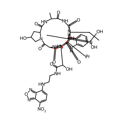 CC1NC(=O)C2CC(O)CN2C(=O)C2CSc3[nH]c4ccccc4c3CC(NC1=O)C(=O)NC(CC(C)(O)CO)C(=O)NC(C(C)C)C(=O)NC(C(O)C(=O)NCCNc1ccc([N+](=O)[O-])c3nonc13)C(=O)N2